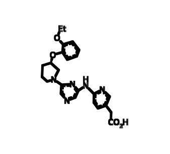 CCOc1ccccc1O[C@@H]1CCCN(c2cncc(Nc3ccc(CC(=O)O)cn3)n2)C1